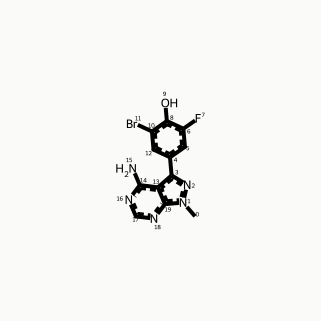 Cn1nc(-c2cc(F)c(O)c(Br)c2)c2c(N)ncnc21